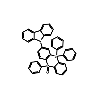 O=P1(c2ccccc2)c2ccccc2[Si](c2ccccc2)(c2ccccc2)c2cc(-n3c4ccccc4c4ccccc43)ccc21